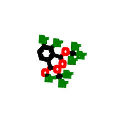 O=C(OC(Br)(Br)Br)c1ccc(Br)c(Br)c1C(=O)OC(Br)(Br)Br